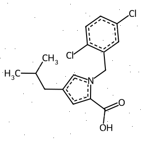 CC(C)Cc1cc(C(=O)O)n(Cc2cc(Cl)ccc2Cl)c1